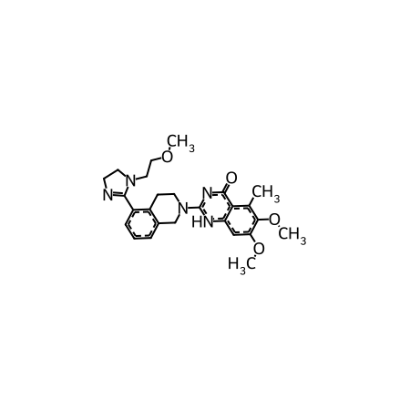 COCCN1CCN=C1c1cccc2c1CCN(c1nc(=O)c3c(C)c(OC)c(OC)cc3[nH]1)C2